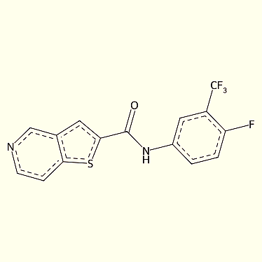 O=C(Nc1ccc(F)c(C(F)(F)F)c1)c1cc2cnccc2s1